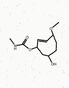 CNC(=O)OC1/C=C/C(OC)CCC(O)C1